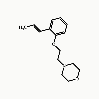 C/C=C/c1ccccc1OCCN1CCOCC1